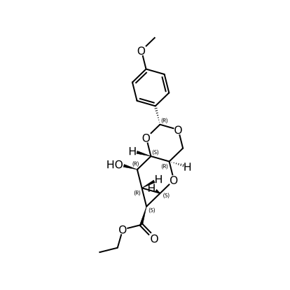 CCOC(=O)[C@@H]1[C@H]2O[C@@H]3CO[C@@H](c4ccc(OC)cc4)O[C@H]3[C@H](O)[C@H]21